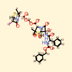 CC1(C)S[C@@H]2[C@H](I)C(=O)N2[C@H]1C(=O)OCOC(=O)[C@@H]1N2C(=O)[C@@](Br)(NC(=O)C(NC(=O)OCc3ccccc3)c3ccccc3)[C@H]2S(=O)(=O)C1(C)C